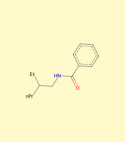 CCCC(CC)CNC(=O)c1ccccc1